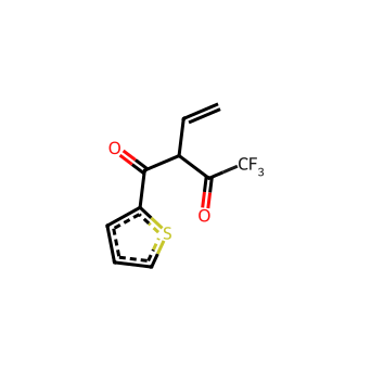 C=CC(C(=O)c1cccs1)C(=O)C(F)(F)F